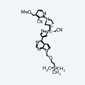 COCc1ccnc(N2CC[C@H]([C@H](CC#N)n3cc(-c4ncnc5c4ccn5COCC[Si](C)(C)C)cn3)C2)c1C#N